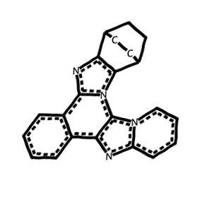 c1ccc2c(c1)c1nc3ccccn3c1n1c3c(nc21)C1CCC3CC1